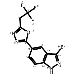 FC(F)(F)Cc1nnc(-c2ccc3[nH]nc(Br)c3c2)o1